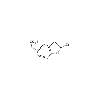 CCC1Cc2cc(CC(=O)O)ccc2O1